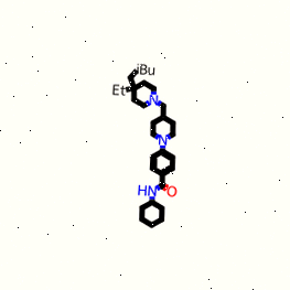 CCC(C)CC1(CC)CCN(CC2CCN(c3ccc(C(=O)NC4CCCCC4)cc3)CC2)CC1